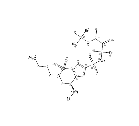 CCN[C@H]1CN(CCCOC)S(=O)(=O)c2sc(S(=O)(=O)NC(C)(CC)C(=O)[C@H](C)OC(C)(CC)C(C)(C)C)cc21